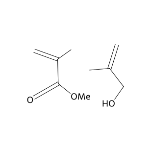 C=C(C)C(=O)OC.C=C(C)CO